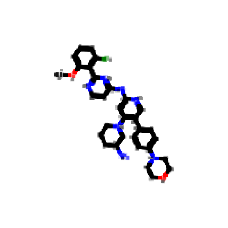 COc1cccc(F)c1-c1nccc(Nc2cc(N3CCC[C@H](N)C3)c(-c3ccc(N4CCOCC4)cc3)cn2)n1